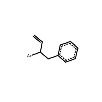 C=CC(Cc1ccccc1)C(C)=O